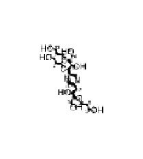 OCCCO[C@H](c1cnc(C[C@H](O)[C@@H](CO)OCCCO)cn1)[C@H](O)[C@@H](CO)OCCCO